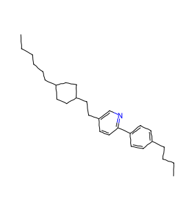 CCCCCCC1CCC(CCc2ccc(-c3ccc(CCCC)cc3)nc2)CC1